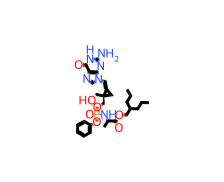 CCCC(CCC)COC(=O)C(C)N[P@](=O)(OC[C@]1(CO)C/C1=C/n1cnc2c(=O)[nH]c(N)nc21)Oc1ccccc1